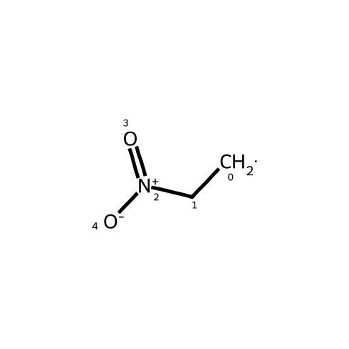 [CH2]C[N+](=O)[O-]